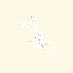 CC(C)C[C@H](NC(=O)[C@@H](NC(=O)[C@@H](N)CCC(F)(F)C(N)C(=O)O)C(C)C)C(=O)O